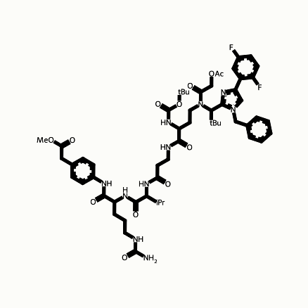 COC(=O)Cc1ccc(NC(=O)C(CCCNC(N)=O)NC(=O)C(NC(=O)CCNC(=O)C(CCN(C(=O)COC(C)=O)C(c2nc(-c3cc(F)ccc3F)cn2Cc2ccccc2)C(C)(C)C)NC(=O)OC(C)(C)C)C(C)C)cc1